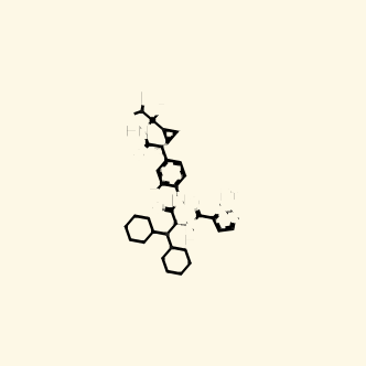 CC(C)n1nccc1C(=O)N[C@H](C(=O)Nc1ccc([C@H](C)C(=O)NC(F)(C(F)F)C2CC2)cc1F)C(C1CCCCC1)C1CCCCC1